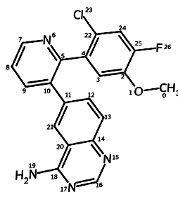 COc1cc(-c2ncccc2-c2ccc3ncnc(N)c3c2)c(Cl)cc1F